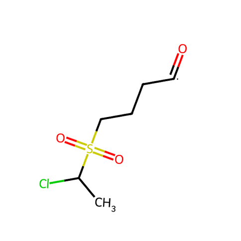 CC(Cl)S(=O)(=O)CCC[C]=O